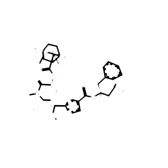 CCO[C@H](C[C@H](C(C)C)N(C)C(=O)[C@@H](NC(=O)[C@H]1[C@H]2CC[C@H](CC2)N1C)[C@@H](C)CC)c1nc(C(=O)N[C@@H](Cc2ccccc2)C[C@H](C)C(=O)O)cs1